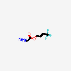 [N-]=[N+]=CC(=O)OCC=CC(F)(F)F